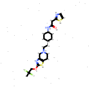 CC(F)(F)COc1nc2c(s1)CCN(CC[C@H]1CC[C@H](NC(=O)Cc3nccs3)CC1)C2